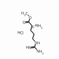 COC(=O)[C@H](N)CCCNC(=N)N.Cl